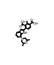 Cc1c(C(=O)O)ccc(-c2cc3cccc(N4CC(C)OC(C)C4)c3[nH]2)c1C(=O)O